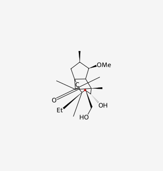 CC[C@]1(C)C[C@@H](O)[C@@]2(C)C3[C@H](OC)[C@H](C)CC3(CC[C@H]2CO)C(C)C1=O